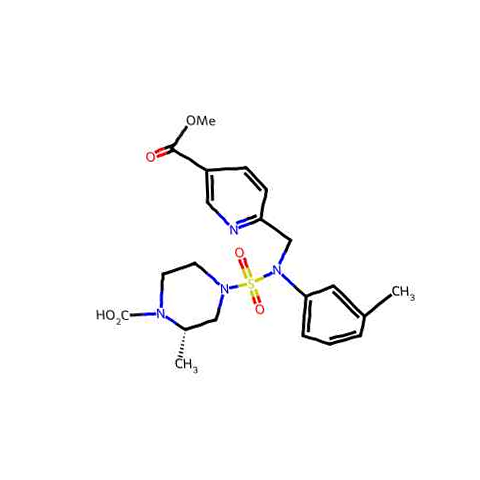 COC(=O)c1ccc(CN(c2cccc(C)c2)S(=O)(=O)N2CCN(C(=O)O)[C@@H](C)C2)nc1